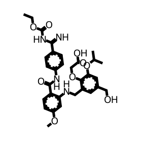 CCOC(=O)NC(=N)c1ccc(NC(=O)c2ccc(OC)cc2NCc2cc(CO)cc(OC(C)C)c2OCC(=O)O)cc1